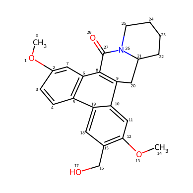 COc1ccc2c(c1)c1c(c3cc(OC)c(CO)cc32)CC2CCCCN2C1=O